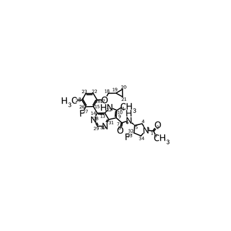 CC(=O)N1C[C@H](NC(=O)c2c(C)[nH]c3c(-c4c(OCC5CC5)ccc(C)c4F)ncnc23)[C@@H](F)C1